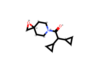 O=C(C(C1CC1)C1CC1)N1CCC2(CC1)CO2